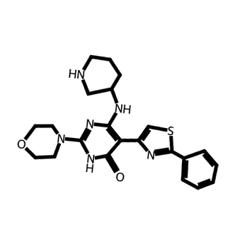 O=c1[nH]c(N2CCOCC2)nc(NC2CCCNC2)c1-c1csc(-c2ccccc2)n1